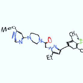 CCc1cc(-c2cc(C)c(F)c(C)c2)nn1CC(=O)N1CCN(c2cc(OC)ncn2)CC1